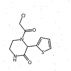 O=C1NCCN(C(=O)CCl)C1c1cccs1